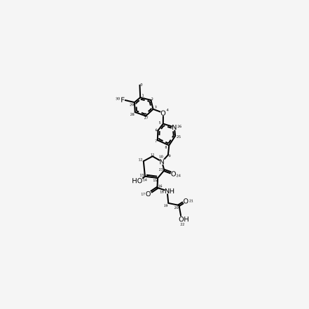 Cc1cc(Oc2ccc(CN3CCC(O)=C(C(=O)NCC(=O)O)C3=O)cn2)ccc1F